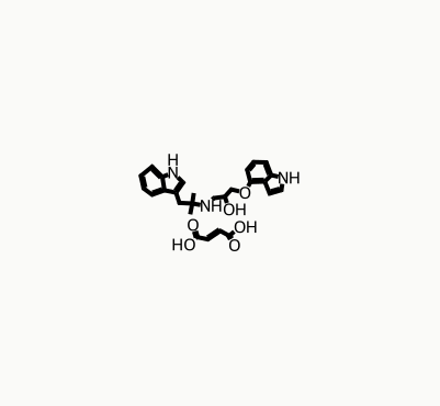 CC(C)(Cc1c[nH]c2ccccc12)NCC(O)COc1cccc2[nH]ccc12.O=C(O)C=CC(=O)O